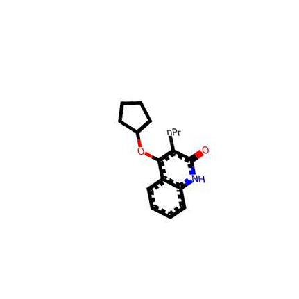 CCCc1c(OC2CCCC2)c2ccccc2[nH]c1=O